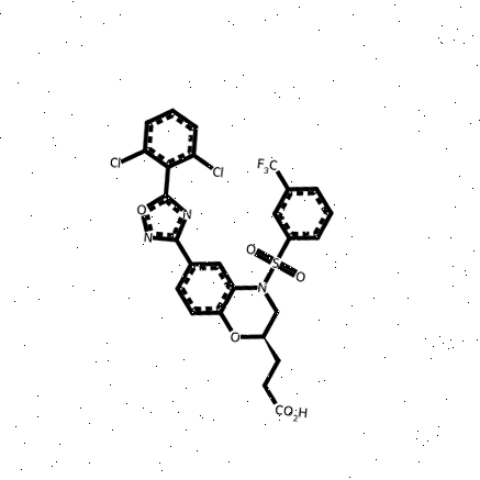 O=C(O)CC[C@@H]1CN(S(=O)(=O)c2cccc(C(F)(F)F)c2)c2cc(-c3noc(-c4c(Cl)cccc4Cl)n3)ccc2O1